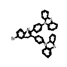 Brc1ccc2nc(-c3ccc(N4c5ccccc5Sc5ccccc54)cc3)c(-c3ccc(N4c5ccccc5Sc5ccccc54)cc3)cc2c1